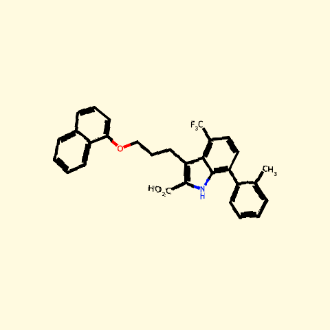 Cc1ccccc1-c1ccc(C(F)(F)F)c2c(CCCOc3cccc4ccccc34)c(C(=O)O)[nH]c12